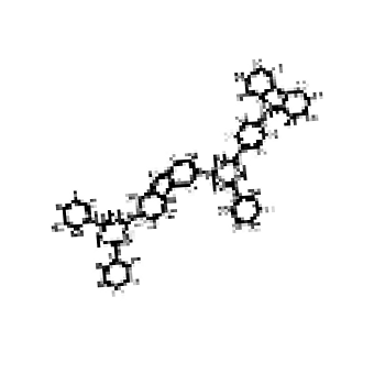 c1ccc(-c2nc(-c3ccccc3)nc(-c3ccc4c(c3)sc3ccc(-c5nc(-c6ccccc6)nc(-c6ccc(-n7c8ccccc8c8ccccc87)cc6)n5)cc34)n2)cc1